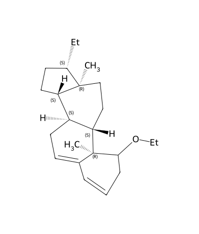 CCOC1CC=CC2=CC[C@H]3[C@@H]4CC[C@H](CC)[C@@]4(C)CC[C@@H]3[C@]21C